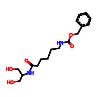 O=C(CCCCCNC(=O)OCc1ccccc1)NC(CO)CO